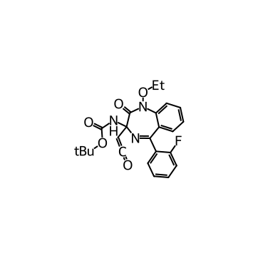 CCON1C(=O)C(C=C=O)(NC(=O)OC(C)(C)C)N=C(c2ccccc2F)c2ccccc21